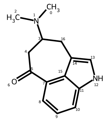 CN(C)C1CC(=O)c2cccc3[nH]cc(c23)C1